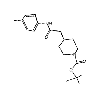 Cc1ccc(NC(=O)CC2CCN(C(=O)OC(C)(C)C)CC2)cc1